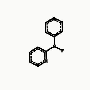 FN(c1ccccc1)c1ccccn1